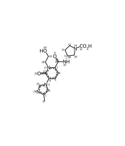 Cc1cn(-c2ccc(C(=O)N[C@@H]3CCN(C(=O)O)C3)n(CCO)c2=O)cn1